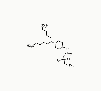 CCCCCCCCCCCC(C)(C)OC(=O)NC1CCC(C(CCCCS(=O)(=O)O)CCCCS(=O)(=O)O)CC1